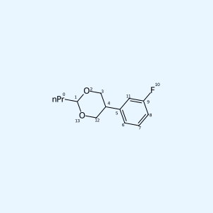 CCCC1OCC(c2cccc(F)c2)CO1